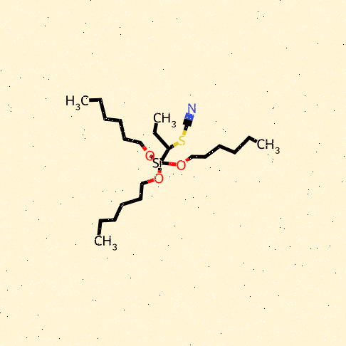 CCCCCCO[Si](OCCCCCC)(OCCCCCC)C(CC)SC#N